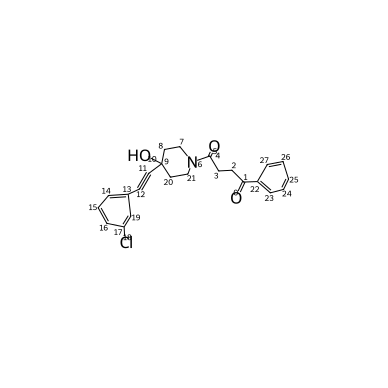 O=C(CCC(=O)N1CCC(O)(C#Cc2cccc(Cl)c2)CC1)c1ccccc1